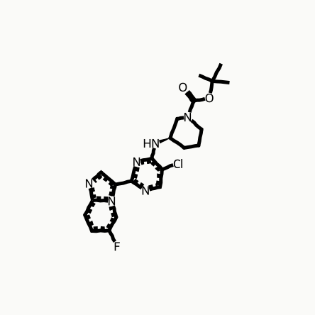 CC(C)(C)OC(=O)N1CCC[C@@H](Nc2nc(-c3cnc4ccc(F)cn34)ncc2Cl)C1